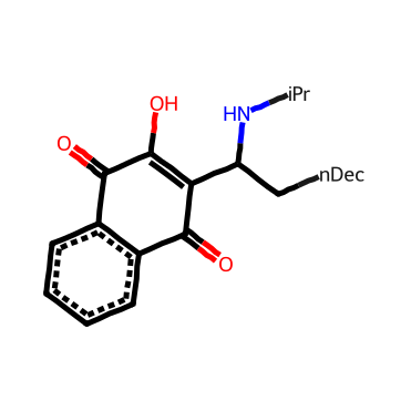 CCCCCCCCCCCC(NC(C)C)C1=C(O)C(=O)c2ccccc2C1=O